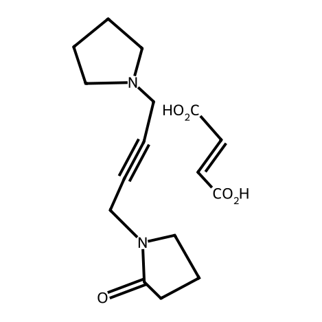 O=C(O)C=CC(=O)O.O=C1CCCN1CC#CCN1CCCC1